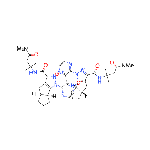 CNC(=O)CC(C)(C)NC(=O)c1nn(-c2ncc[n+]([O-])c2-c2c(-n3nc(C(=O)NC(C)(C)CC(=O)NC)c4c3[C@H]3CCC[C@H]3C4)ncc[n+]2[O-])c2c1C[C@@H]1CCC[C@H]21